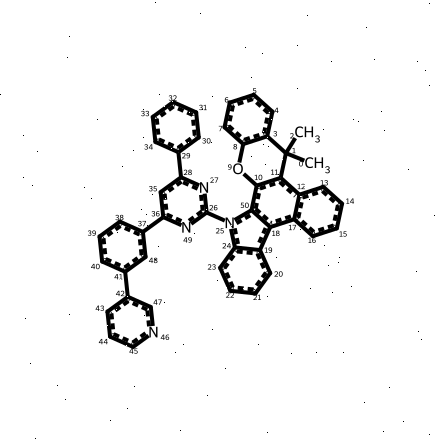 CC1(C)c2ccccc2Oc2c1c1ccccc1c1c3ccccc3n(-c3nc(-c4ccccc4)cc(-c4cccc(-c5cccnc5)c4)n3)c21